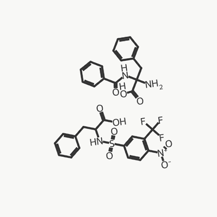 NC(Cc1ccccc1)(NC(=O)c1ccccc1)C(=O)O.O=C(O)C(Cc1ccccc1)NS(=O)(=O)c1ccc([N+](=O)[O-])c(C(F)(F)F)c1